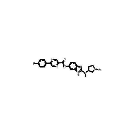 CC(=O)N1CCC(N(C)c2nc3ccc(NC(=O)c4cnc(-c5ccc(F)cc5)cn4)cc3[nH]2)C1